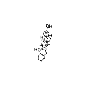 C[C@@]12CC[C@@H]3[C@H](CC[C@@H]4C[C@@H](O)CC[C@]43C)[C@H]1CC(=Cc1ccccc1)[C@H]2O